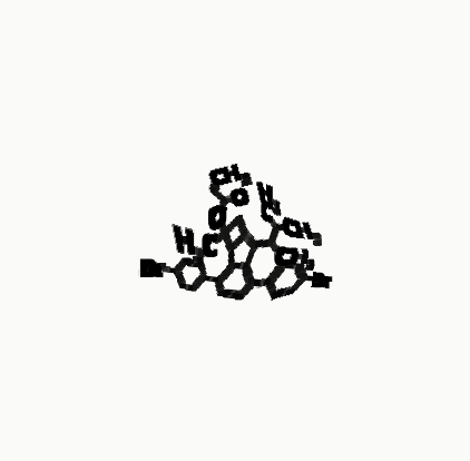 C=CC(=O)OC1(C)CC2C(C(C)C(C)C)c3c(-c4ccc(Br)cc4)ccc(-c4ccc(Br)cc4)c3C21